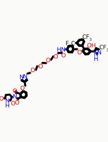 O=C1CCC(N2C(=O)c3cccc(OCc4cnn(CCOCCOCCOCCOCC(=O)Nc5ccc(COc6ccc(-c7cc(C(F)(F)F)n[nH]7)c(O)c6-c6cc(C(F)(F)F)cc(C(F)(F)F)c6)cc5)c4)c3C2=O)C(=O)N1